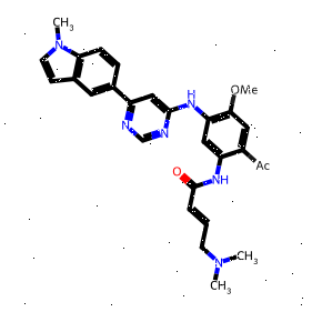 COc1cc(C(C)=O)c(NC(=O)/C=C/CN(C)C)cc1Nc1cc(-c2ccc3c(ccn3C)c2)ncn1